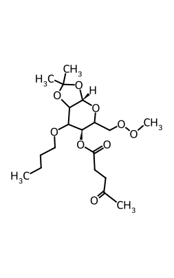 CCCCOC1C2OC(C)(C)O[C@@H]2OC(COOC)[C@H]1OC(=O)CCC(C)=O